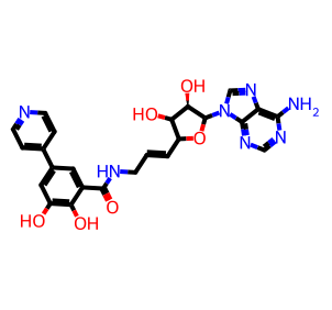 Nc1ncnc2c1ncn2C1OC(C=CCNC(=O)c2cc(-c3ccncc3)cc(O)c2O)C(O)[C@H]1O